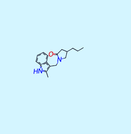 CCCC1CC(=O)N(Cc2c(C)[nH]c3ccccc23)C1